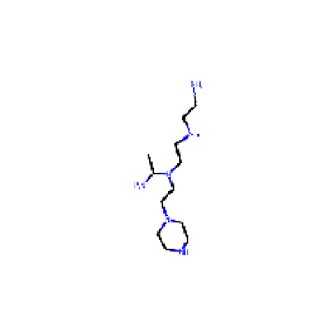 CC(N)N(CCNCCN)CCN1CCNCC1